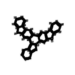 c1ccc2c(c1)cn1c3cc4oc5ccccc5c4cc3c3cc4c(cc3c21)sc1ccccc14